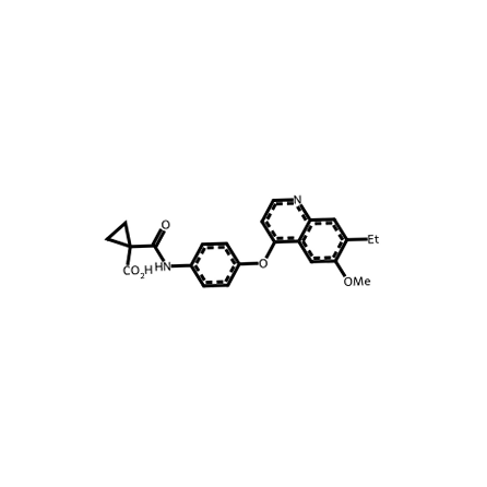 CCc1cc2nccc(Oc3ccc(NC(=O)C4(C(=O)O)CC4)cc3)c2cc1OC